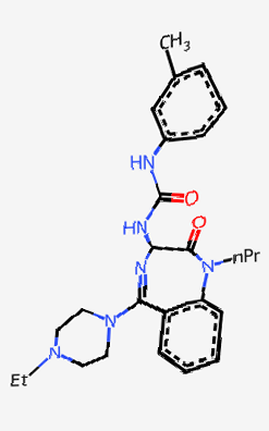 CCCN1C(=O)[C@H](NC(=O)Nc2cccc(C)c2)N=C(N2CCN(CC)CC2)c2ccccc21